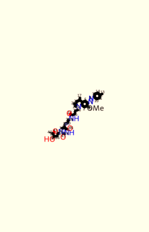 COc1cc2c(cc1/N=N/c1ccc(C)cc1)C(C)=CC(C)(C)N2CCCC(=O)NC/C=C/c1cn([C@H]2C[C@@H](O)[C@@H](C)O2)c(=O)[nH]c1=O